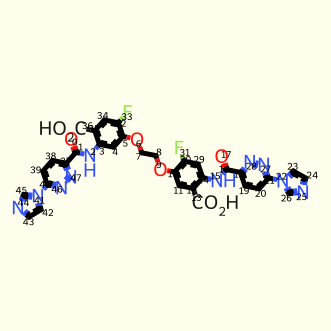 O=C(Nc1cc(OCCOc2cc(C(=O)O)c(NC(=O)c3ccc(-n4ccnc4)nn3)cc2F)c(F)cc1C(=O)O)c1ccc(-n2ccnc2)nn1